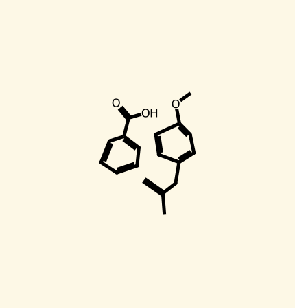 C=C(C)Cc1ccc(OC)cc1.O=C(O)c1ccccc1